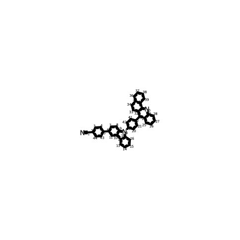 N#Cc1ccc(-c2ccc3c(c2)c2ccccc2n3-c2ccc(-c3c4ccccc4nc4c3ccc3ccccc34)cc2)cc1